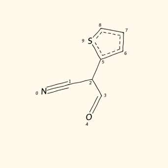 N#CC(C=O)c1cccs1